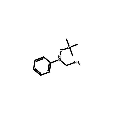 C[Si](C)(C)O[SiH](CN)c1ccccc1